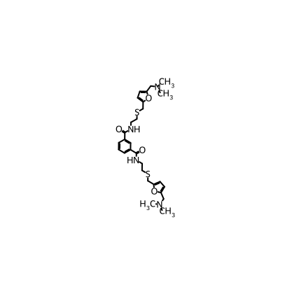 CN(C)Cc1ccc(CSCCNC(=O)c2cccc(C(=O)NCCSCc3ccc(CN(C)C)o3)c2)o1